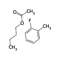 CCCCOC(C)=O.Cc1ccccc1F